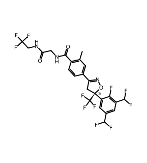 Cc1cc(C2=NO[C@@](c3cc(C(F)F)cc(C(F)F)c3F)(C(F)(F)F)C2)ccc1C(=O)NCC(=O)NCC(F)(F)F